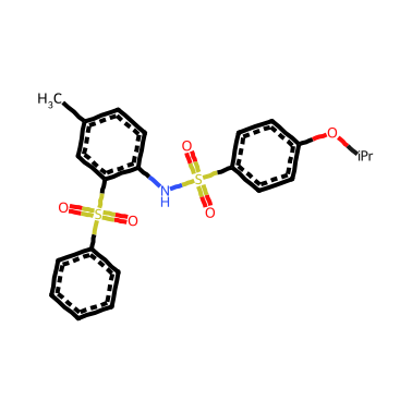 Cc1ccc(NS(=O)(=O)c2ccc(OC(C)C)cc2)c(S(=O)(=O)c2ccccc2)c1